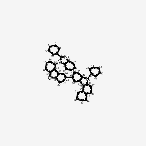 c1ccc(-c2nc3ccccc3n2-c2cccc3oc4ccc(-c5ccc6c(c5)c5c7ccccc7ccc5n6-c5ccccc5)cc4c23)cc1